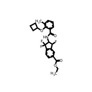 CCOC(=O)c1ccc2c(c1)C(F)C(NC(=O)c1cccc(C)c1OC1CCC1)C2(F)F